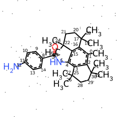 Cc1c2c(c(NC(=O)c3ccc(N)cc3)c3c1C(C)(C)CCC3(C)C)C(C)(C)CCC2(C)C